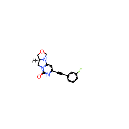 O=c1nc(C#Cc2cccc(F)c2)cc2n1C[C@@H]1COCN21